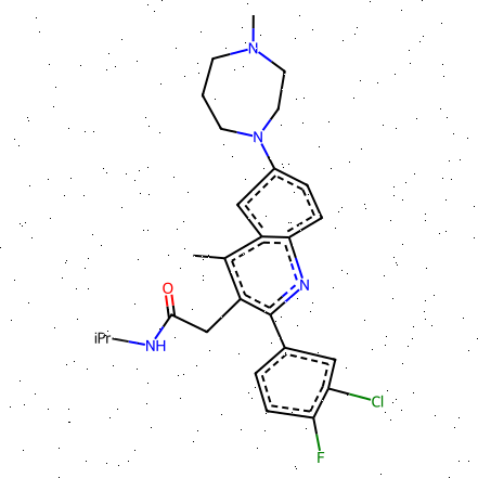 Cc1c(CC(=O)NC(C)C)c(-c2ccc(F)c(Cl)c2)nc2ccc(N3CCCN(C)CC3)cc12